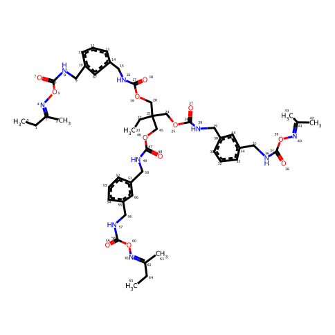 CC/C(C)=N/OC(=O)NCc1cccc(CNC(=O)OCC(CC)(COC(=O)NCc2cccc(CNC(=O)ON=C(C)C)c2)COC(=O)NCc2cccc(CNC(=O)O/N=C(\C)CC)c2)c1